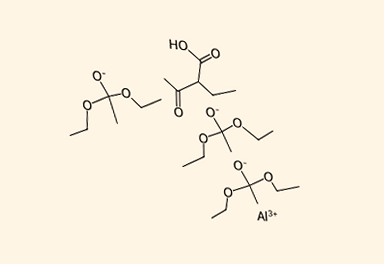 CCC(C(C)=O)C(=O)O.CCOC(C)([O-])OCC.CCOC(C)([O-])OCC.CCOC(C)([O-])OCC.[Al+3]